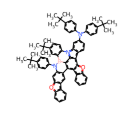 CC(C)(C)c1ccc(N2B3c4cc(C(C)(C)C)ccc4-n4c5cc(N(c6ccc(C(C)(C)C)cc6)c6ccc(C(C)(C)C)cc6)ccc5c5c6oc7ccccc7c6c(c3c54)-c3cc4c(cc32)oc2ccccc24)cc1